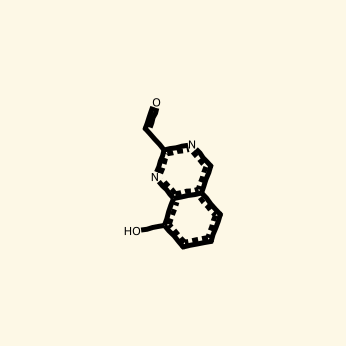 O=Cc1ncc2cccc(O)c2n1